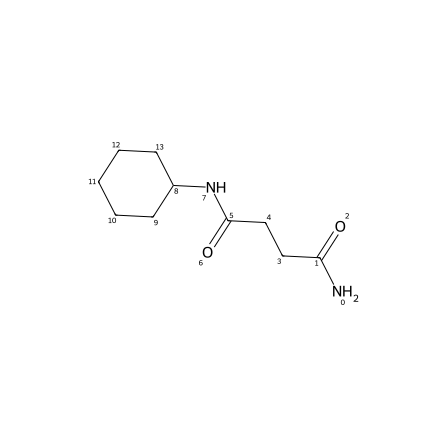 NC(=O)CCC(=O)NC1CCCCC1